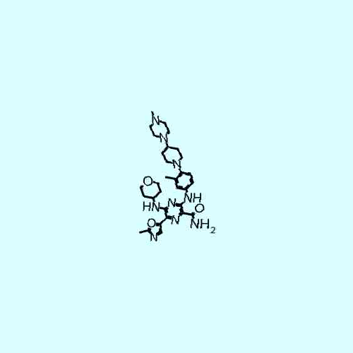 Cc1ncc(-c2nc(C(N)=O)c(Nc3ccc(N4CCC(N5CCN(C)CC5)CC4)c(C)c3)nc2NC2CCOCC2)o1